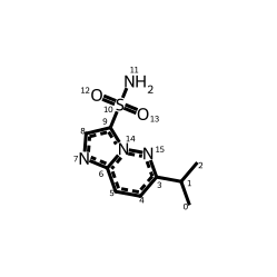 CC(C)c1ccc2ncc(S(N)(=O)=O)n2n1